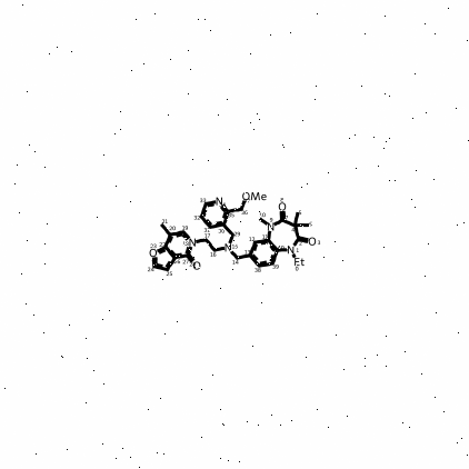 CCN1C(=O)C(C)(C)C(=O)N(C)c2cc(CN(CCn3cc(C)c4occc4c3=O)Cc3cccnc3COC)ccc21